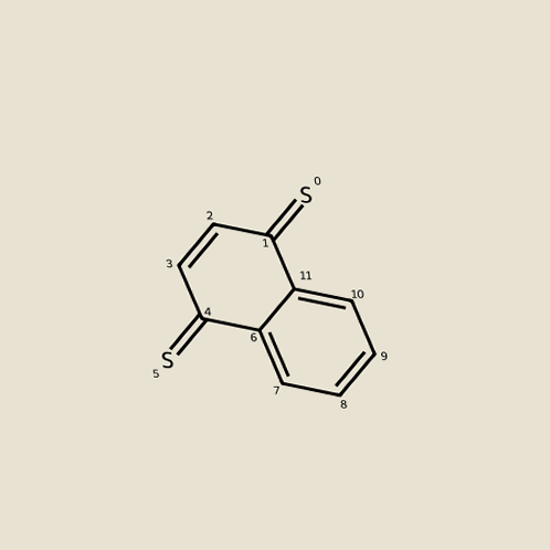 S=C1C=CC(=S)c2ccccc21